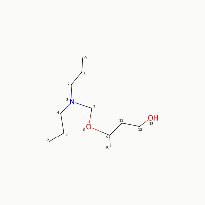 CCCN(CCC)COC(C)CCO